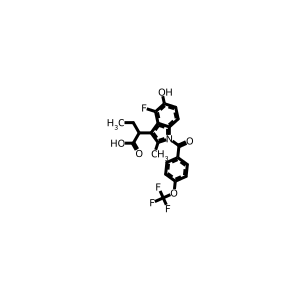 CCC(C(=O)O)c1c(C)n(C(=O)c2ccc(OC(F)(F)F)cc2)c2ccc(O)c(F)c12